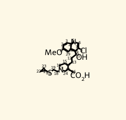 COc1ccc2ncc(Cl)c(C(O)CCC3CCN(CCSC4CC4)CC3CC(=O)O)c2c1